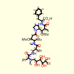 CCC(C)C(C(CC(=O)N1CCCC1C(OC)C(C)C(=O)NC(Cc1ccccc1)C(=O)O)OC)N(C)C(=O)C(CNC(=O)C(C(C)C)N(C)CC(O)C(O)C(O)C(O)CC)C(C)C